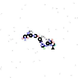 C[C@H]1CC2(CC[C@H]1OC1CCN(c3ccc4c(C5CCC(=O)NC5=O)nn(C)c4c3)CC1)CN(c1ncc(Cl)c(Nc3ccc4c(c3)c3c(c(=O)n4C)OCC(F)(F)[C@H](C4CC4)N3)n1)C2